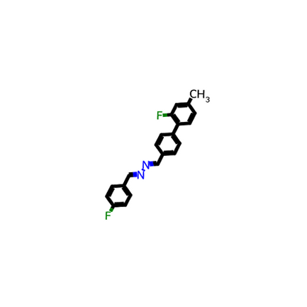 Cc1ccc(-c2ccc(C=NN=Cc3ccc(F)cc3)cc2)c(F)c1